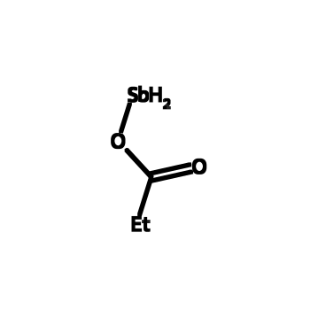 CCC(=O)[O][SbH2]